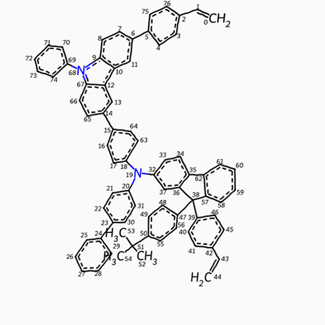 C=Cc1ccc(-c2ccc3c(c2)c2cc(-c4ccc(N(c5ccc(-c6ccccc6)cc5)c5ccc6c(c5)C(c5ccc(C=C)cc5)(c5ccc(C(C)(C)C)cc5)c5ccccc5-6)cc4)ccc2n3-c2ccccc2)cc1